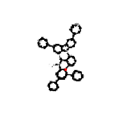 CN(C(=O)c1c(C=O)cccc1-n1c2ccc(-c3ccncc3)cc2c2cc(-c3ccncc3)ccc21)c1cc(-c2ccccc2)cc(-c2ccccc2)c1